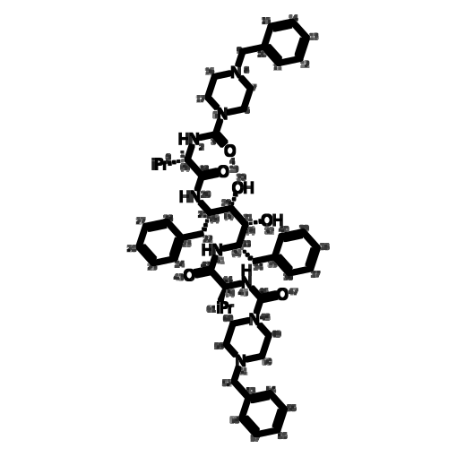 CC(C)[C@H](NC(=O)N1CCN(Cc2ccccc2)CC1)C(=O)N[C@@H](Cc1ccccc1)[C@H](O)[C@H](O)[C@H](Cc1ccccc1)NC(=O)[C@@H](NC(=O)N1CCN(Cc2ccccc2)CC1)C(C)C